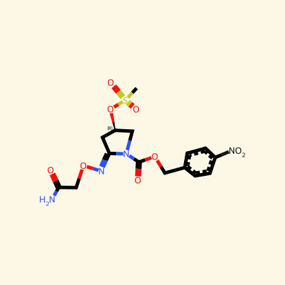 CS(=O)(=O)O[C@@H]1CC(=NOCC(N)=O)N(C(=O)OCc2ccc([N+](=O)[O-])cc2)C1